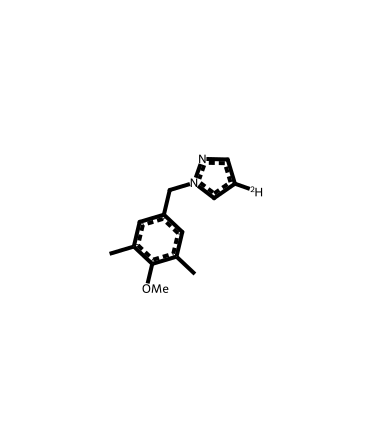 [2H]c1cnn(Cc2cc(C)c(OC)c(C)c2)c1